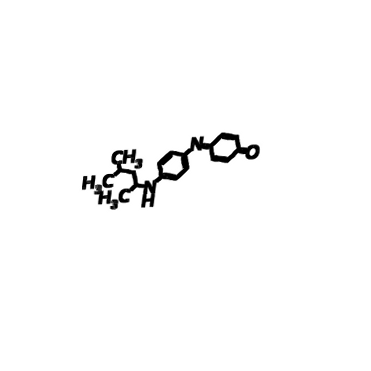 CC(C)CC(C)Nc1ccc(N=C2C=CC(=O)C=C2)cc1